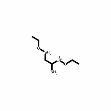 CCO[SiH2]CC(N)[SiH2]OCC